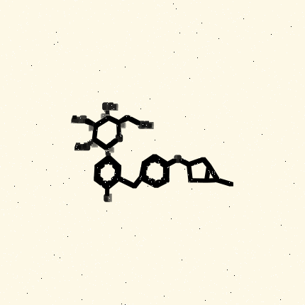 CC(=O)OC[C@H]1O[C@H](c2ccc(Cl)c(Cc3ccc(OC4CC5C(C)C5C4)cc3)c2)[C@H](OC(C)=O)[C@@H](OC(C)=O)[C@@H]1OC(C)=O